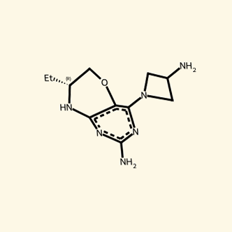 CC[C@@H]1COc2c(nc(N)nc2N2CC(N)C2)N1